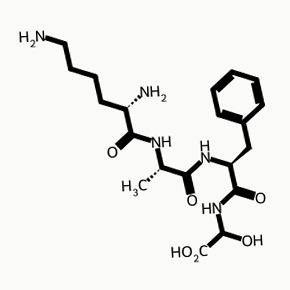 C[C@H](NC(=O)[C@@H](N)CCCCN)C(=O)N[C@@H](Cc1ccccc1)C(=O)NC(O)C(=O)O